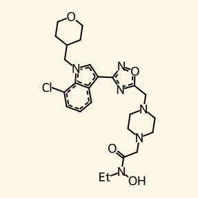 CCN(O)C(=O)CN1CCN(Cc2nc(-c3cn(CC4CCOCC4)c4c(Cl)cccc34)no2)CC1